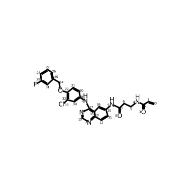 C=CC(=O)NCCC(=O)Nc1ccc2ncnc(Nc3ccc(OCc4cccc(F)c4)c(Cl)c3)c2c1